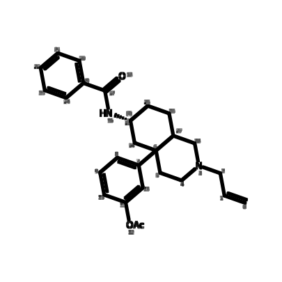 C=CCN1CCC2(c3cccc(OC(C)=O)c3)C[C@H](NC(=O)c3ccccc3)CCC2C1